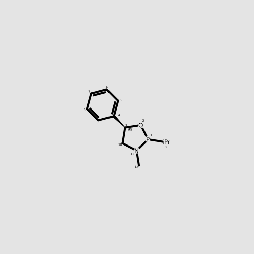 CC(C)P1O[C@H](c2ccccc2)CN1C